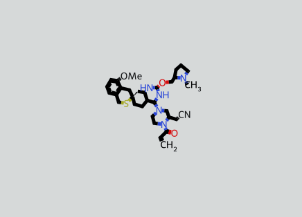 C=CC(=O)N1CCN(C2NC(OCC3CCCN3C)NC3C[C@@]4(CCC32)Cc2c(cccc2OC)CS4)CC1CC#N